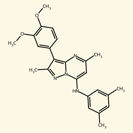 COc1ccc(-c2c(C)nn3c(Nc4cc(C)cc(C)c4)cc(C)nc23)cc1OC